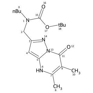 CCCCN(Cc1cc2[nH]c(C)c(C)c(=O)n2n1)C(=O)OC(C)(C)C